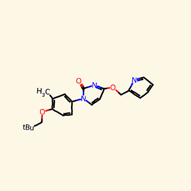 Cc1cc(-n2ccc(OCc3ccccn3)nc2=O)ccc1OCC(C)(C)C